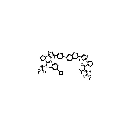 COC(=O)N[C@@H](Cc1cccc(C2CCC2)c1)C(=O)N1CCC[C@H]1c1ncc(-c2ccc(-c3ccc4cc(-c5cnc([C@@H]6CCCN6C(=O)[C@@H](NC(=O)OC)C(C)C)[nH]5)ccc4c3)cc2)[nH]1